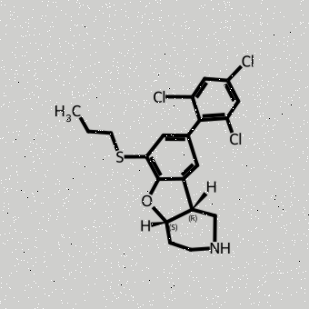 CCCSc1cc(-c2c(Cl)cc(Cl)cc2Cl)cc2c1O[C@H]1CCNC[C@@H]21